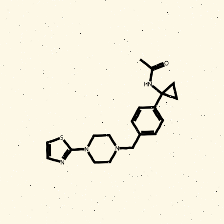 CC(=O)NC1(c2ccc(CN3CCN(c4nccs4)CC3)cc2)CC1